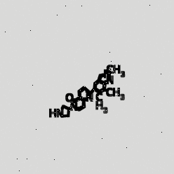 Cc1c(-c2ccc3c(=O)n(C4CCNC4)ccc3n2)cc2cn(C)nc2c1C